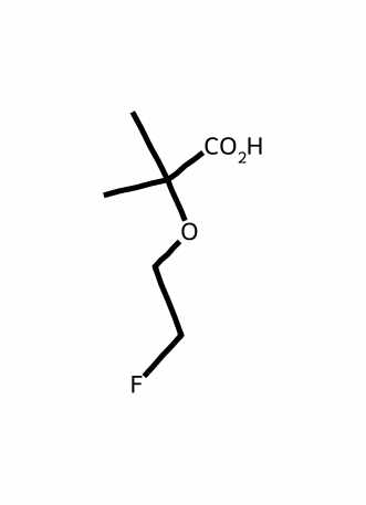 CC(C)(OCCF)C(=O)O